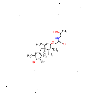 CC1=CC(CC2(C)C(C)=CC(OCC(=C=O)NCC(C)O)=C(C)[C@@H]2C)=C[C@@H](C(C)C)C1O